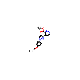 CCOc1ccc(-n2ccc(-c3ccnnc3C(=O)OC)n2)cc1